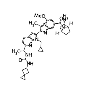 COc1cc(C(=O)N2[C@H]3CC[C@@H]2[C@H](N)C3)cc2nc(-c3cc4ccc([C@@H](C)NC(=O)NC5CC6(CC6)C5)nc4n3CC3CC3)c(C)n12